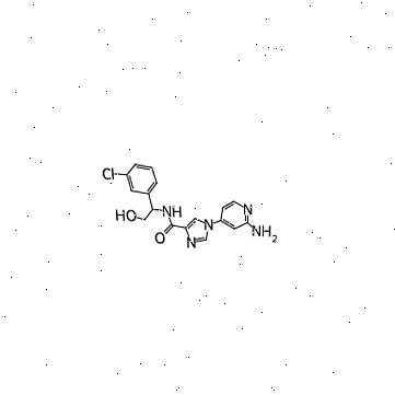 Nc1cc(-n2cnc(C(=O)NC(CO)c3cccc(Cl)c3)c2)ccn1